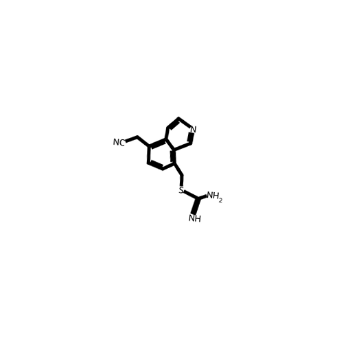 N#CCc1ccc(CSC(=N)N)c2cnccc12